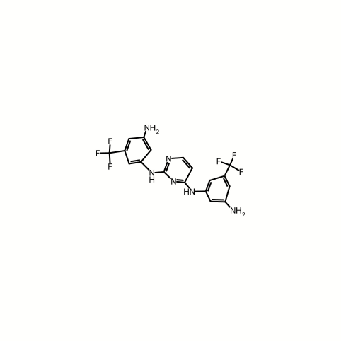 Nc1cc(Nc2ccnc(Nc3cc(N)cc(C(F)(F)F)c3)n2)cc(C(F)(F)F)c1